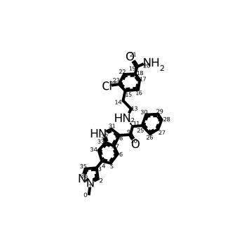 Cn1cc(-c2ccc3c(C(=O)[C@H](NCCc4ccc(C(N)=O)cc4Cl)c4ccccc4)c[nH]c3c2)cn1